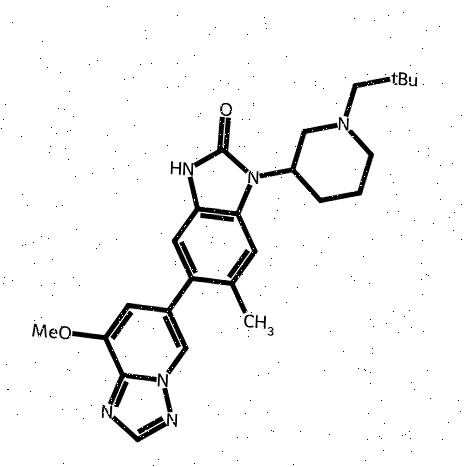 COc1cc(-c2cc3[nH]c(=O)n(C4CCCN(CC(C)(C)C)C4)c3cc2C)cn2ncnc12